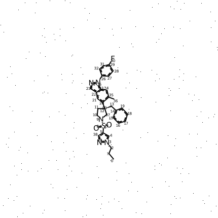 CCCn1cc(S(=O)(=O)N2CC[C@](Cc3ccccc3)(c3cc4cnn(-c5ccc(F)cc5)c4cc3C)C2)cn1